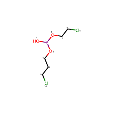 OP(OCCCl)OCCCCl